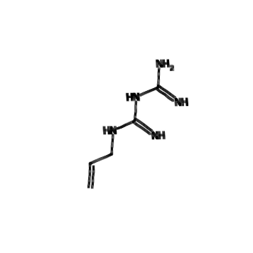 C=CCNC(=N)NC(=N)N